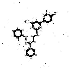 Cc1cc(-c2ccc(=O)[nH]n2)nc(SCCC(OCc2ccccc2F)c2ccccc2)n1